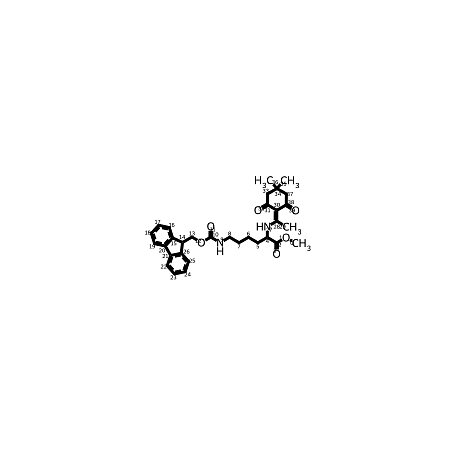 COC(=O)C(CCCCNC(=O)OCC1c2ccccc2-c2ccccc21)NC(C)=C1C(=O)CC(C)(C)CC1=O